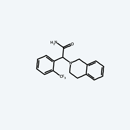 NC(=O)C(c1ccccc1C(F)(F)F)N1CCc2ccccc2C1